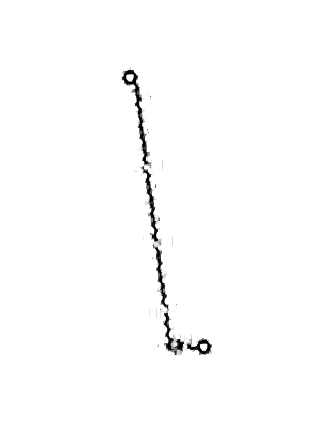 O=C(CCOCCOCCOCCNC(=O)CCOCCOCCOCCC(=O)NCCOCCOCCOCCC(=O)OCc1ccccc1)NCCCCC(NC(=O)OCc1ccccc1)C(=O)O